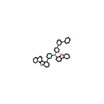 c1ccc(-c2cccc(-c3ccc(N(c4cccc(-c5cccc6oc7c8ccccc8ccc7c56)c4)c4cccc5c4oc4ccccc45)cc3)c2)cc1